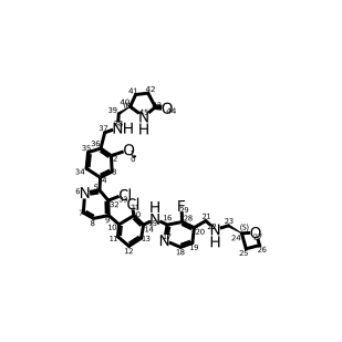 COc1cc(-c2nccc(-c3cccc(Nc4nccc(CNC[C@@H]5CCO5)c4F)c3Cl)c2Cl)ccc1CNC[C@H]1CCC(=O)N1